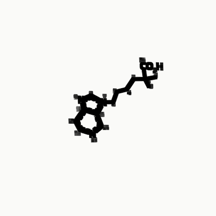 CC(C)(CCCCn1cnc2ccncc21)C(=O)O